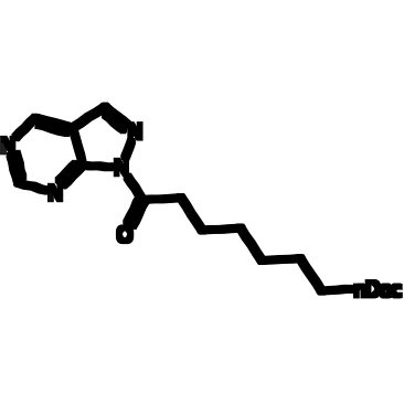 CCCCCCCCCCCCCCCCC(=O)n1ncc2cncnc21